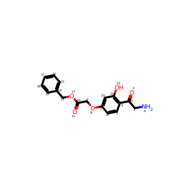 NCC(=O)c1ccc(OCC(=O)OCc2ccccc2)cc1O